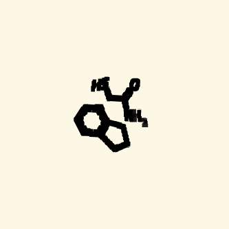 NC(=O)CS.c1ccc2c(c1)CCC2